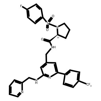 O=C(NCc1cc(NCc2ccccn2)nc(-c2ccc(C(F)(F)F)cc2)c1)[C@@H]1CCCN1S(=O)(=O)c1ccc(F)cc1